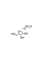 O=S(=O)(O)OC[C@H]1O[C@H](CO)[C@@H](O)[C@@H]1O